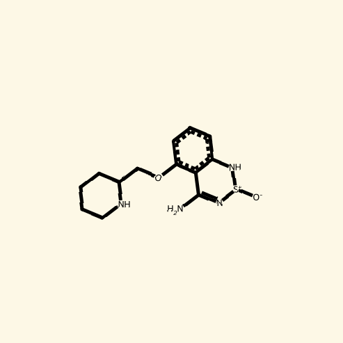 NC1=N[S+]([O-])Nc2cccc(OCC3CCCCN3)c21